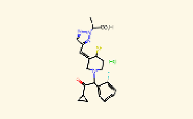 CC(C(=O)O)n1ncc(C=C2CN(C(C(=O)C3CC3)c3ccccc3F)CCC2S)n1.Cl